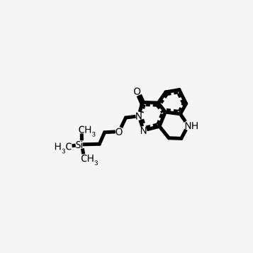 C[Si](C)(C)CCOCn1nc2c3c(cccc3c1=O)NCC2